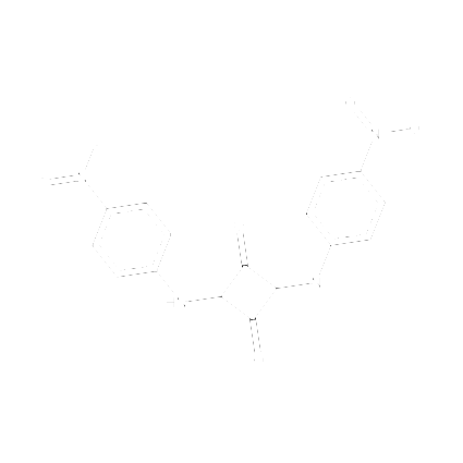 O=C1C(Nc2ccc([N+](=O)[O-])cc2)C(=O)C1Nc1ccc([N+](=O)[O-])cc1